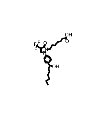 CCCCCCC(O)c1ccc(N2CC(C(F)(F)F)C(=O)N2CCCCCCC(=O)O)cc1